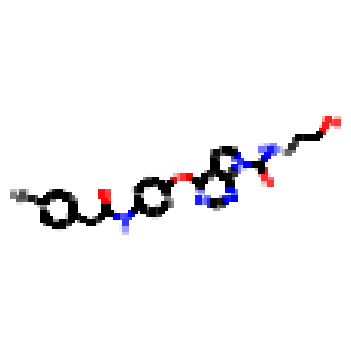 O=C(Cc1ccc(C(F)(F)F)cc1)Nc1ccc(Oc2ncnc3c2ccn3C(=O)NCCCO)cc1